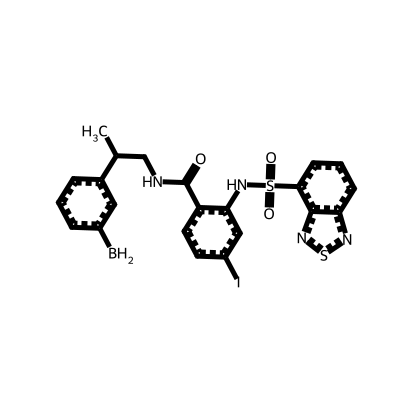 Bc1cccc(C(C)CNC(=O)c2ccc(I)cc2NS(=O)(=O)c2cccc3nsnc23)c1